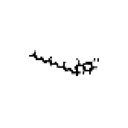 CC(C)=CCC/C(C)=C/CC/C(C)=C/CCC1(C)CC(=O)c2cc(O)c(C)c(C)c2O1